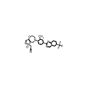 Cc1cc(-c2ncc3cc(C(F)(F)F)ccc3n2)ccc1N1CCOC2=C(C1)[N+]([O-])(CC#N)N=C2